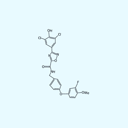 COc1ccc(Oc2ccc(CNC(=O)c3nc(-c4cc(Cl)c(O)c(Cl)c4)no3)cc2)cc1F